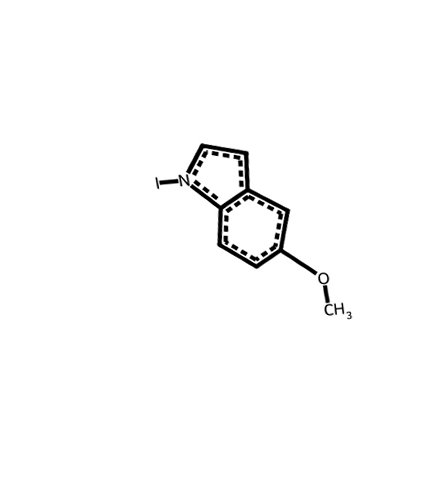 COc1ccc2c(ccn2I)c1